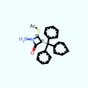 CC(=O)S[C@@H]1[C@H](C(c2ccccc2)(c2ccccc2)c2ccccc2)C(=O)N1N